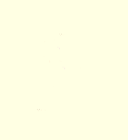 COC(=O)N1c2cc(C)c(C)cc2C(=O)N2C=C(c3ccc(OC)cc3)C[C@H]2[C@@H]1O